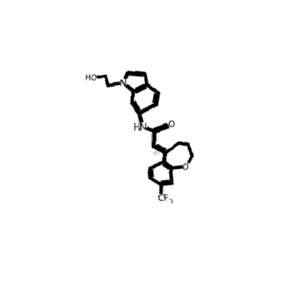 O=C(/C=C1\CCCOc2cc(C(F)(F)F)ccc21)Nc1ccc2ccn(CCO)c2c1